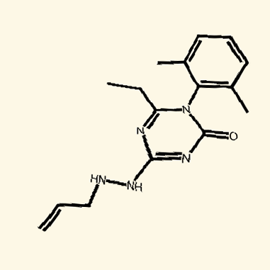 C=CCNNc1nc(CC)n(-c2c(C)cccc2C)c(=O)n1